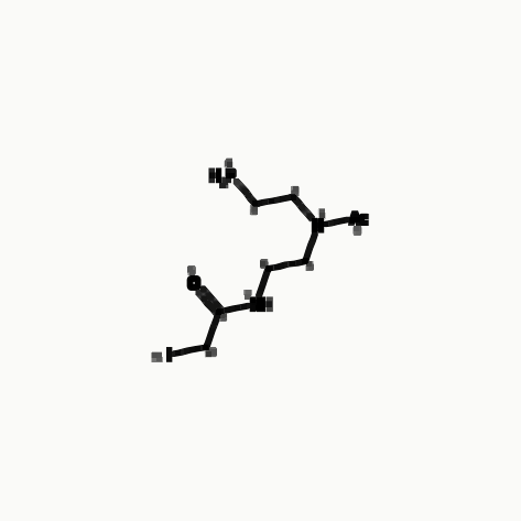 CC(=O)N(CCP)CCNC(=O)CI